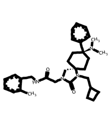 Cc1ccccc1CNC(=O)CN1C[C@]2(CC[C@](c3ccccc3)(N(C)C)CC2)N(CC2CCC2)C1=O